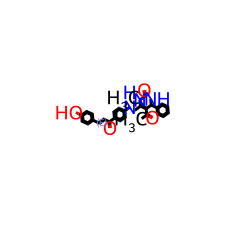 CC(=O)C1=C(CNc2ccc(C(=O)/C=C/c3ccc(O)cc3)cc2)N(C)C(=O)NC1c1ccccc1